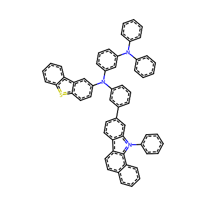 c1ccc(N(c2ccccc2)c2cccc(N(c3cccc(-c4ccc5c6ccc7ccccc7c6n(-c6ccccc6)c5c4)c3)c3ccc4sc5ccccc5c4c3)c2)cc1